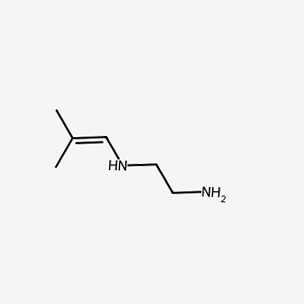 CC(C)=CNCCN